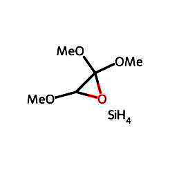 COC1OC1(OC)OC.[SiH4]